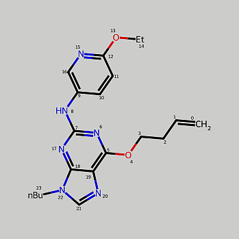 C=CCCOc1nc(Nc2ccc(OCC)nc2)nc2c1ncn2CCCC